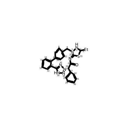 CCC1NN(Cc2ccc(-c3ccccc3-c3nnn[nH]3)cc2)C(=NC(=O)Cc2ccccc2)S1